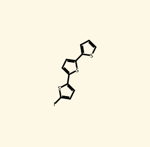 Ic1ccc(-c2ccc(-c3cccs3)s2)s1